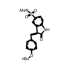 CCCCOc1ccc(C=C2C(=O)Nc3ccc(S(=O)(=O)NC)cc32)cc1